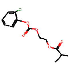 CC(C)C(=O)OCCOC(=O)Oc1ccccc1Cl